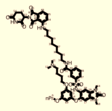 CCCOc1cc(OCCCCN(C)C)cc(Oc2cc3c(cc2NS(=O)(=O)c2cccc(C(=O)NCCCCCCCCNc4cccc5c4C(=O)N(C4CCC(=O)NC4=O)C5=O)c2)n(C)c(=O)n3C)c1